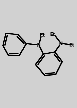 CCN(CC)c1ccccc1N(CC)c1ccccc1